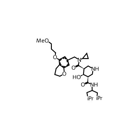 COCCCOc1cc(CN(C(=O)[C@H]2CNC[C@@H](C(=O)NC(CC(C)C)CC(C)C)[C@H]2O)C2CC2)cc2c1CCCO2